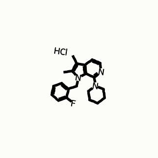 Cc1c(C)n(Cc2ccccc2F)c2c(N3CCCCC3)nccc12.Cl